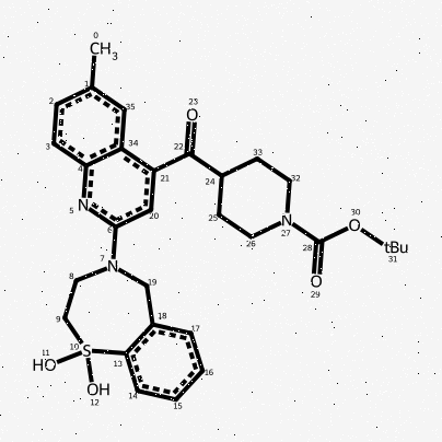 Cc1ccc2nc(N3CCS(O)(O)c4ccccc4C3)cc(C(=O)C3CCN(C(=O)OC(C)(C)C)CC3)c2c1